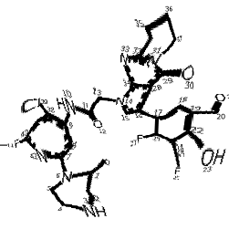 CC1CNCCN1c1cc(NC(=O)Cn2cc(C3=CC(C=O)=C(O)C(F)C3F)c3c(=O)n4c(nc32)CCC4)c(Cl)c(F)n1